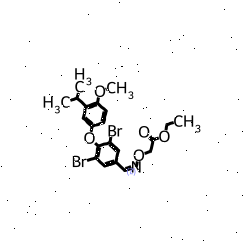 CCOC(=O)CO/N=C\c1cc(Br)c(Oc2ccc(OC)c(C(C)C)c2)c(Br)c1